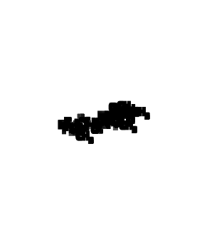 CN/C=C(/NC(=O)c1coc(-c2ccnc(/C(C)=C\CC(F)(F)F)c2)n1)C(=N)N1CC(C(=O)NC)C(C)(C)C1=O